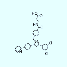 O=C(O)CCNC(=O)c1ccc(Cn2nc(-c3cc(Cl)cc(Cl)c3)cc2-c2ccc(-c3ccccn3)cc2)cc1